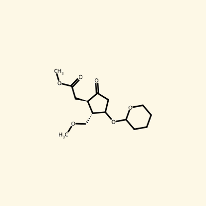 COC[C@H]1C(OC2CCCCO2)CC(=O)[C@@H]1CC(=O)OC